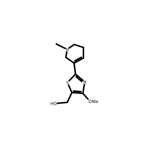 COc1nc(C2=CCCN(C)C2)sc1CO